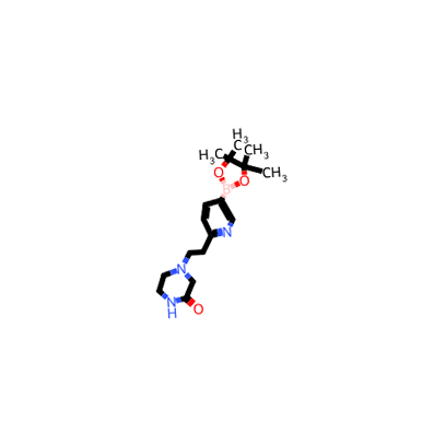 CC1(C)OB(c2ccc(CCN3CCNC(=O)C3)nc2)OC1(C)C